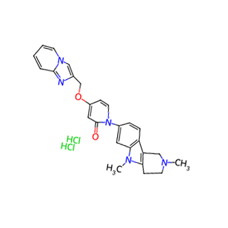 CN1CCc2c(c3ccc(-n4ccc(OCc5cn6ccccc6n5)cc4=O)cc3n2C)C1.Cl.Cl